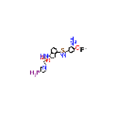 CC(C)Oc1ccc(-c2nnc(-c3cccc4c3CC[C@@H]4NS(=O)(=O)CCN3CCC(P)C3)s2)cc1N